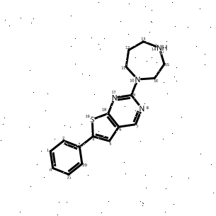 c1ccc(-c2cc3cnc(N4CCCNCC4)nc3s2)cc1